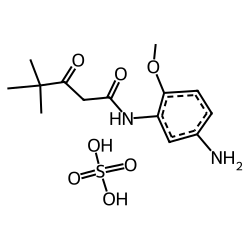 COc1ccc(N)cc1NC(=O)CC(=O)C(C)(C)C.O=S(=O)(O)O